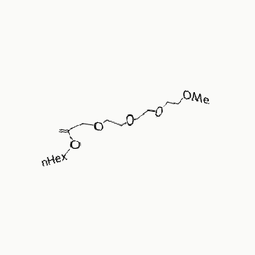 C=C(COCCOCCOCCOC)OCCCCCC